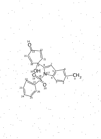 Cc1ccc2c(c1)cc(C1(O)C=CC(=O)C=C1)n2S(=O)(=O)c1ccccc1